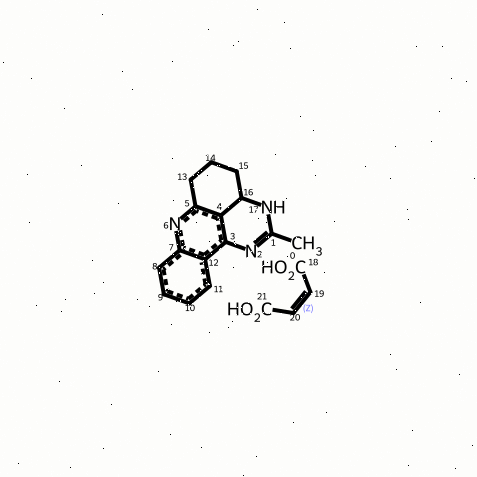 CC1=Nc2c3c(nc4ccccc24)CCCC3N1.O=C(O)/C=C\C(=O)O